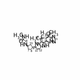 CNC(=O)CNC1CCC(c2ccc3[nH]c(-c4cc(OC)c5ncnn5c4)c(C(C)C)c3n2)C1